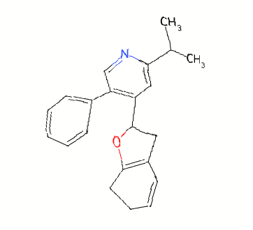 CC(C)c1cc(C2CC3=C(CCC=C3)O2)c(-c2ccccc2)cn1